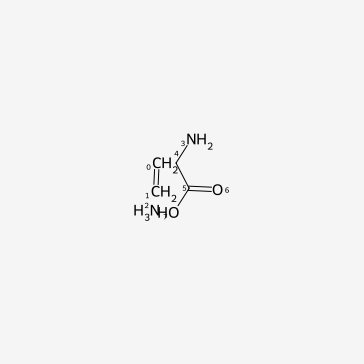 C=C.N.NCC(=O)O